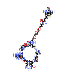 CC(C)C[C@@H]1NC(=O)[C@H](CCC(N)=O)NC(=O)CCc2cn(nn2)CCCC[C@@H](C(=O)NCCCOCCOCCOCCCNC(=O)CCCC[C@H]2SC[C@H]3NC(=O)N[C@H]32)NC(=O)C2CCCN2C(=O)CNC(=O)[C@H](Cc2c[nH]cn2)NC1=O